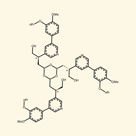 CCCOc1cc(-c2cncc([C@H](CO)CB3OB(C[C@@H](CO)c4cncc(-c5ccc(OC)c(OCCC)c5)c4)OB(C[C@@H](CO)c4cncc(-c5ccc(OC)c(OCCC)c5)c4)O3)c2)ccc1OC